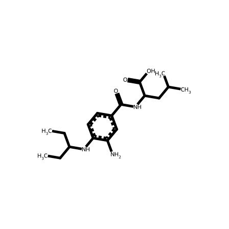 CCC(CC)Nc1ccc(C(=O)NC(CC(C)C)C(=O)O)cc1N